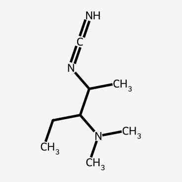 CCC(C(C)N=C=N)N(C)C